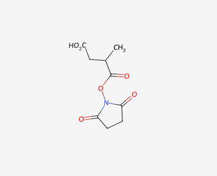 CC(CC(=O)O)C(=O)ON1C(=O)CCC1=O